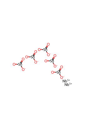 [Nb+5].[Nb+5].[O]=[Sn]([O-])[O-].[O]=[Sn]([O-])[O-].[O]=[Sn]([O-])[O-].[O]=[Sn]([O-])[O-].[O]=[Sn]([O-])[O-]